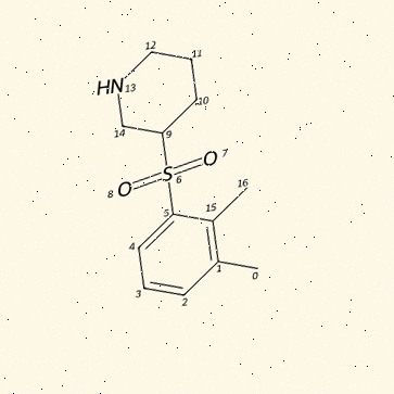 Cc1cccc(S(=O)(=O)C2[CH]CCNC2)c1C